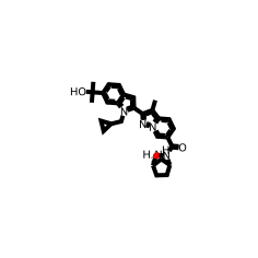 Cc1c(-c2cc3ccc(C(C)(C)O)cc3n2CC2CC2)nn2cc(C(=O)N3CC4CCC3[C@@H]4N)ccc12